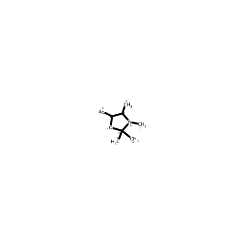 CC(=O)C1OC(C)(C)N(C)C1C